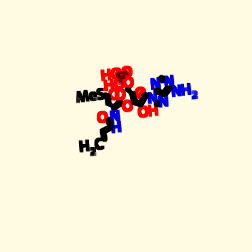 C=CCCC(=O)N[C@@H](CC(=O)SC)C(=O)O[C@H]1[C@@H](O)[C@H](n2cnc3c(N)ncnc32)O[C@@H]1COP(=O)(O)O